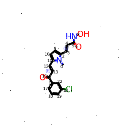 Cn1c(/C=C/C(=O)NO)ccc1/C=C/C(=O)c1cccc(Cl)c1